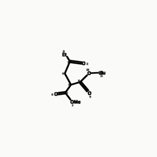 CCC(=O)CC(C(=O)OC)C(=O)OC(C)(C)C